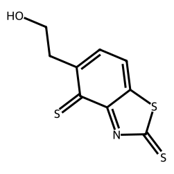 OCCC1=CC=C2SC(=S)N=C2C1=S